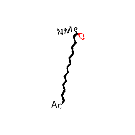 CNC(=O)CCCCCCCCCCCCCCC(C)=O